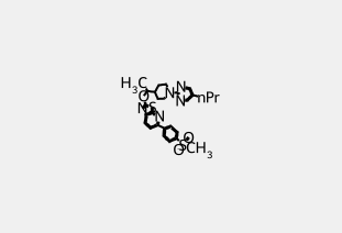 CCCc1cnc(N2CCC(C(C)Oc3nc4ccc(-c5ccc(S(C)(=O)=O)cc5)nc4s3)CC2)nc1